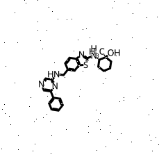 C[C@]1(O)CCCC[C@@H]1Nc1nc2ccc(CNc3cncc(-c4ccccc4)n3)cc2s1